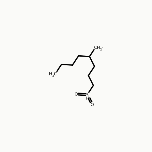 [CH2]C(CCCC)CCC[SH](=O)=O